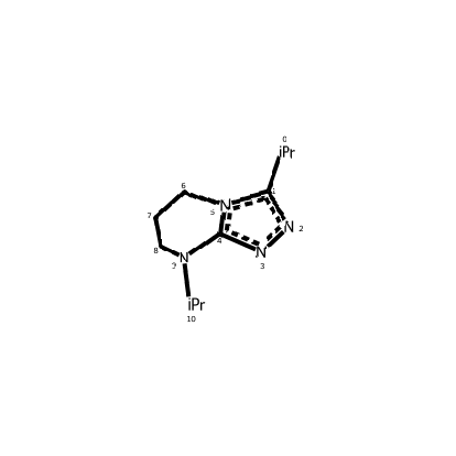 CC(C)c1nnc2n1CCCN2C(C)C